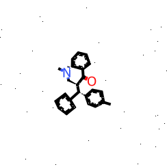 Cc1ccc([C@H](c2ccccc2)[C@@H](CN(C)C)C(=O)c2ccccc2)cc1